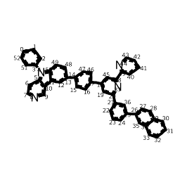 c1ccc(-n2c3ccncc3c3cc(-c4ccc(-c5cc(-c6cccc(-c7ccc8ccccc8c7)c6)nc(-c6ccccn6)c5)cc4)ccc32)cc1